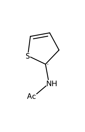 CC(=O)N[C]1CC=CS1